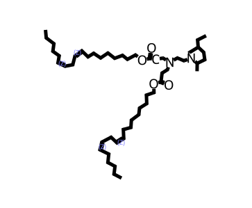 CCCCC/C=C\C/C=C\CCCCCCCCOC(=O)CCN(CCC(=O)OCCCCCCCC/C=C\C/C=C\CCCCC)CCN1CC(CC)CCC1C